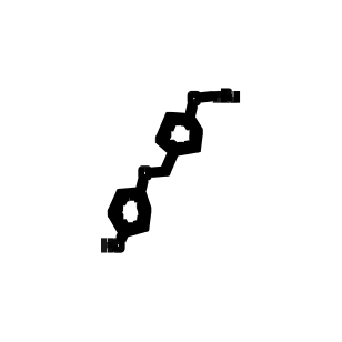 CCCCOc1ccc(COc2ccc(O)cc2)cc1